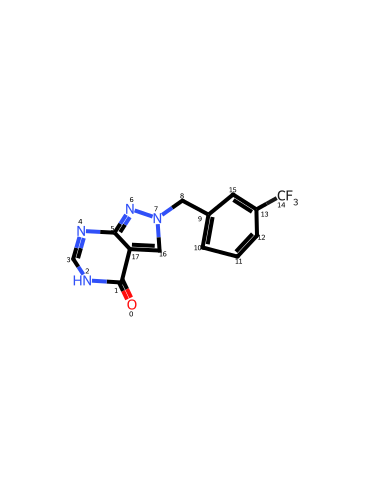 O=c1[nH]cnc2nn(Cc3cccc(C(F)(F)F)c3)cc12